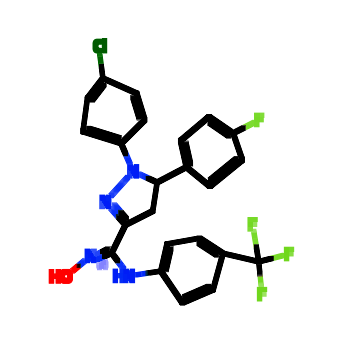 O/N=C(\Nc1ccc(C(F)(F)F)cc1)C1=NN(c2ccc(Cl)cc2)C(c2ccc(F)cc2)C1